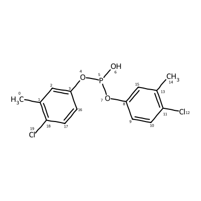 Cc1cc(OP(O)Oc2ccc(Cl)c(C)c2)ccc1Cl